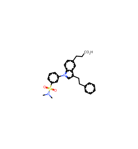 CN(C)S(=O)(=O)c1cccc(-n2cc(CCc3ccccc3)c3cc(CCC(=O)O)ccc32)c1